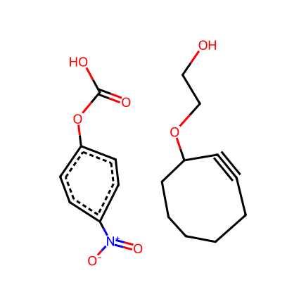 O=C(O)Oc1ccc([N+](=O)[O-])cc1.OCCOC1C#CCCCCC1